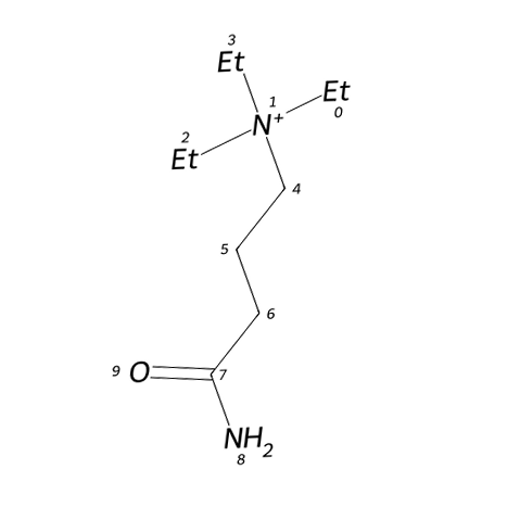 CC[N+](CC)(CC)CCCC(N)=O